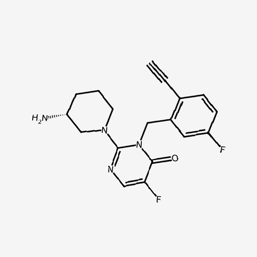 C#Cc1ccc(F)cc1Cn1c(N2CCC[C@@H](N)C2)ncc(F)c1=O